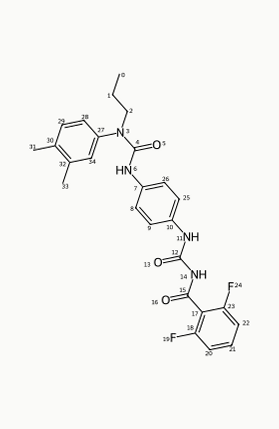 CCCN(C(=O)Nc1ccc(NC(=O)NC(=O)c2c(F)cccc2F)cc1)c1ccc(C)c(C)c1